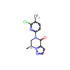 C[C@H]1CN(c2ccc(C(F)(F)F)c(Cl)n2)C(=O)c2ccnn21